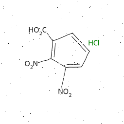 Cl.O=C(O)c1cccc([N+](=O)[O-])c1[N+](=O)[O-]